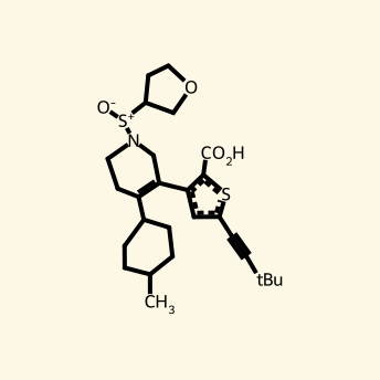 CC1CCC(C2=C(c3cc(C#CC(C)(C)C)sc3C(=O)O)CN([S+]([O-])C3CCOC3)CC2)CC1